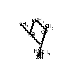 CCCCCCCCC(CC)OC(=O)CCCCCCCN(CCCCCCCC(=O)OC(CCCCCCCC)CCCCCCCC)CCCN/C(=N/[N+](=O)[O-])NC